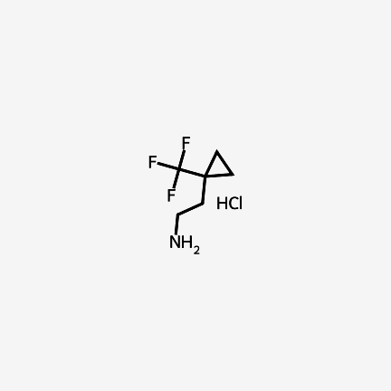 Cl.NCCC1(C(F)(F)F)CC1